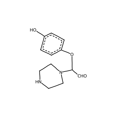 O=CC(Oc1ccc(O)cc1)N1CCNCC1